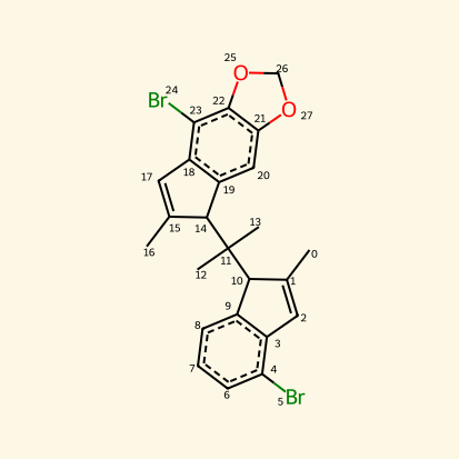 CC1=Cc2c(Br)cccc2C1C(C)(C)C1C(C)=Cc2c1cc1c(c2Br)OCO1